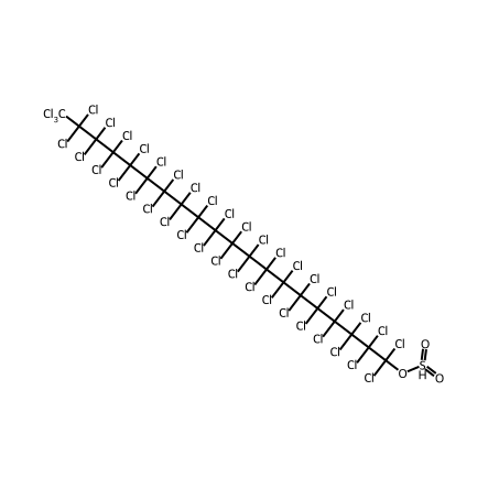 O=[SH](=O)OC(Cl)(Cl)C(Cl)(Cl)C(Cl)(Cl)C(Cl)(Cl)C(Cl)(Cl)C(Cl)(Cl)C(Cl)(Cl)C(Cl)(Cl)C(Cl)(Cl)C(Cl)(Cl)C(Cl)(Cl)C(Cl)(Cl)C(Cl)(Cl)C(Cl)(Cl)C(Cl)(Cl)C(Cl)(Cl)C(Cl)(Cl)C(Cl)(Cl)C(Cl)(Cl)C(Cl)(Cl)Cl